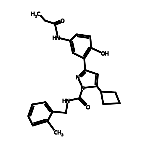 CCC(=O)Nc1ccc(O)c(-c2cc(C3CCC3)n(C(=O)NCc3ccccc3C)n2)c1